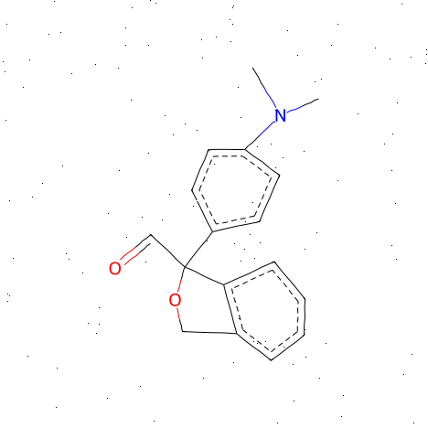 CN(C)c1ccc(C2(C=O)OCc3ccccc32)cc1